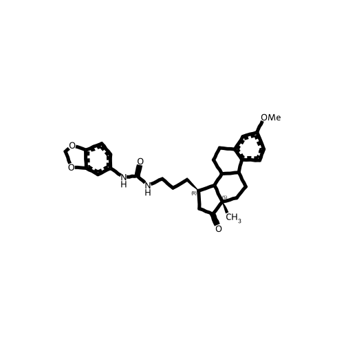 COc1ccc2c(c1)CCC1C2CC[C@]2(C)C(=O)C[C@@H](CCCNC(=O)Nc3ccc4c(c3)OCO4)C12